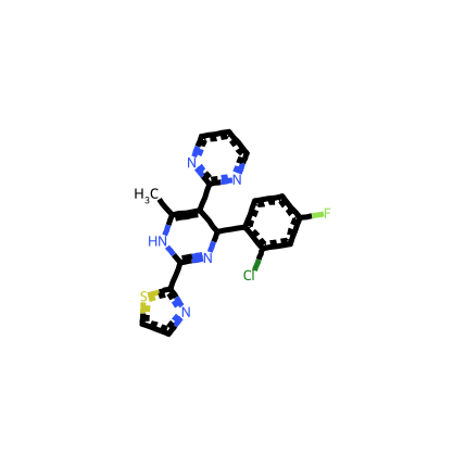 CC1=C(c2ncccn2)C(c2ccc(F)cc2Cl)N=C(c2nccs2)N1